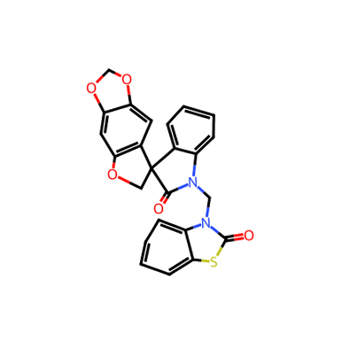 O=C1N(Cn2c(=O)sc3ccccc32)c2ccccc2C12COc1cc3c(cc12)OCO3